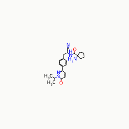 CC(C)n1nc(-c2ccc(C[C@@H](C#N)NC(=O)C3(N)CCCC3)cc2)ccc1=O